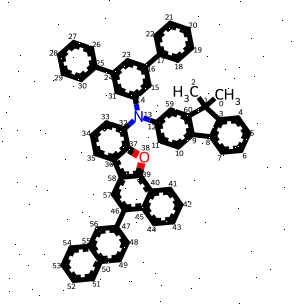 CC1(C)c2ccccc2-c2ccc(N(c3cc(-c4ccccc4)cc(-c4ccccc4)c3)c3cccc4c3oc3c5ccccc5c(-c5ccc6ccccc6c5)cc43)cc21